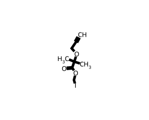 C#CCOC(C)(C)C(=O)OCI